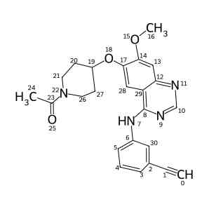 C#Cc1cccc(Nc2ncnc3cc(OC)c(OC4CCN(C(C)=O)CC4)cc23)c1